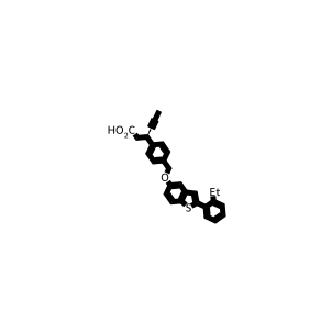 CC#C[C@@H](CC(=O)O)c1ccc(COc2ccc3sc(-c4ccccc4CC)cc3c2)cc1